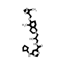 Cc1ncoc1COc1ccc2c(c1C)CCN(CC(O)CNC(=O)c1cc(NC3CCCC3)ncn1)C2